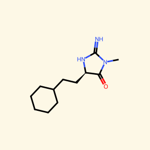 CN1C(=N)N[C@H](CCC2CCCCC2)C1=O